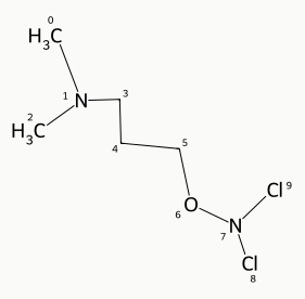 CN(C)CCCON(Cl)Cl